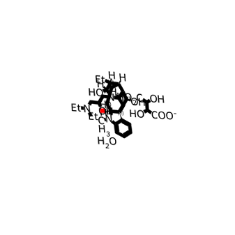 CC[C@H]1[C@@H]2C[C@H]3[C@@H]4N(C)c5ccccc5[C@]45C[C@@H](C2[C@H]5O)[N+]3(CC(O)CN(CC)CC)[C@@H]1O.O.O=C([O-])C(O)C(O)C(=O)O